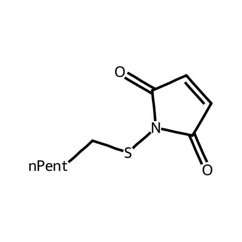 CCCCCCSN1C(=O)C=CC1=O